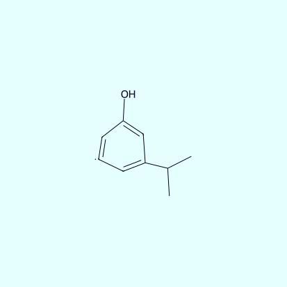 CC(C)c1c[c]cc(O)c1